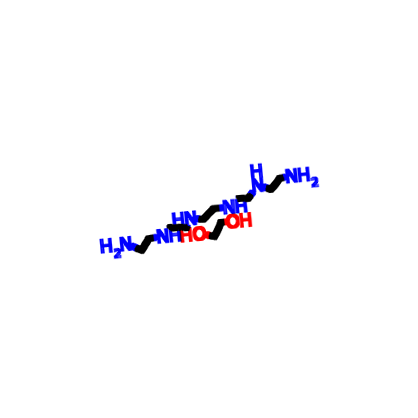 NCCNCCNCCNCCNCCN.OCCO